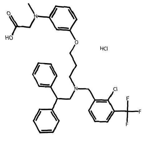 CN(CC(=O)O)c1cccc(OCCCN(Cc2cccc(C(F)(F)F)c2Cl)CC(c2ccccc2)c2ccccc2)c1.Cl